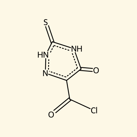 O=C(Cl)c1n[nH]c(=S)[nH]c1=O